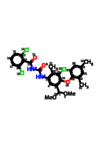 COC(OC)c1cc(NC(=O)NC(=O)c2c(Cl)cccc2Cl)c(C)c(Cl)c1Oc1ccc(C)cc1C